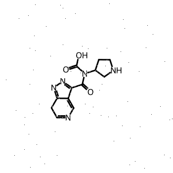 O=C(O)N(C(=O)C1=NN=C2CC=NC=C21)C1CCNC1